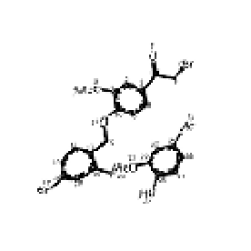 COc1cc(C(=O)CBr)ccc1OCc1ccc(Br)cc1F.COc1cc(C(C)=O)ccc1O